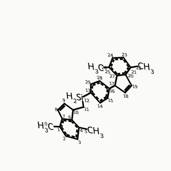 Cc1ccc(C)c2c1C=CC2C[SiH2]c1ccc(C2C=Cc3c(C)ccc(C)c32)cc1